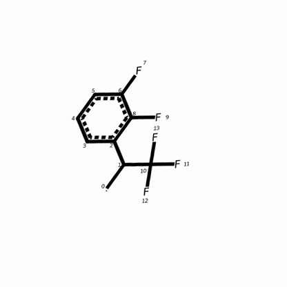 [CH2]C(c1cccc(F)c1F)C(F)(F)F